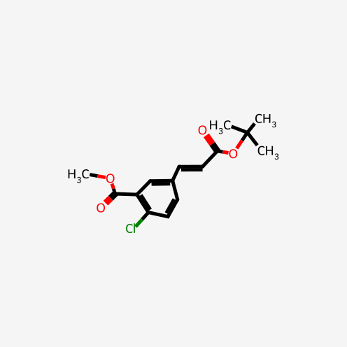 COC(=O)c1cc(C=CC(=O)OC(C)(C)C)ccc1Cl